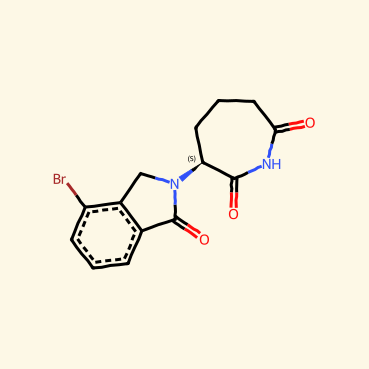 O=C1CCC[C@H](N2Cc3c(Br)cccc3C2=O)C(=O)N1